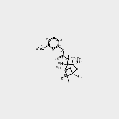 CCOC(=O)[C@H]1C[C@@H]2C[C@H]([C@@H]1NC(=S)Nc1cccc(OC)c1)C2(C)C